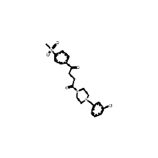 CS(=O)(=O)c1ccc(C(=O)CCC(=O)N2CCN(c3cccc(Cl)c3)CC2)cc1